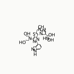 CN(Cc1cc2nc(-c3cccc4[nH]ncc34)nc(N(CCO)CCO)c2s1)c1ncc(C(O)NO)cn1